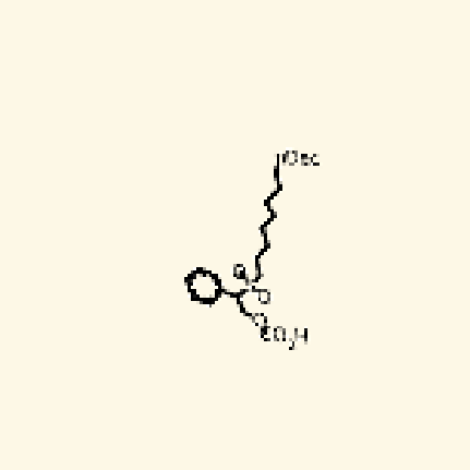 CCCCCCCCCCCCCCCCCCS(=O)(=O)C(COC(=O)O)c1ccccc1